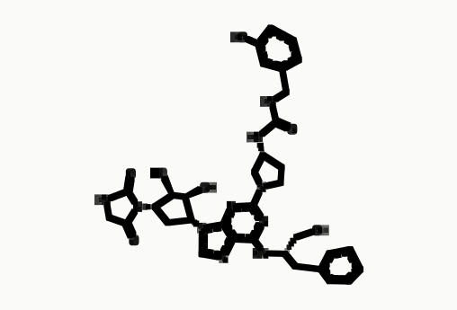 O=C(NCc1cccc(O)c1)N[C@@H]1CCN(c2nc(N[C@H](CO)Cc3ccccc3)c3ncn([C@@H]4C[C@H](N5C(=O)CNC5=O)[C@@H](O)[C@H]4O)c3n2)C1